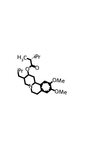 COc1cc2c(cc1OC)C1CC(OC(=O)[C@H](C)C(C)C)C(CC(C)C)CN1CC2